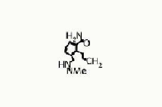 C=CCc1c(CNNC)cccc1C(N)=O